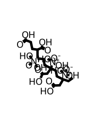 CCC(CCC(CCC(C(CCC(=O)O)C(=O)O)[N+]([O-])(O)O)(CC(=O)O)[N+]([O-])(O)O)(CC(=O)O)[N+]([O-])(O)O